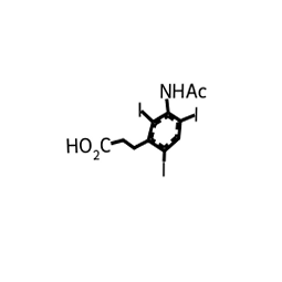 CC(=O)Nc1c(I)cc(I)c(CCC(=O)O)c1I